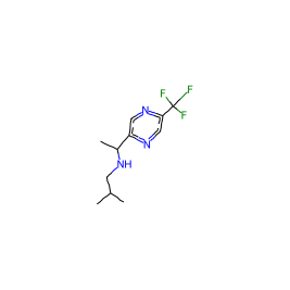 CC(C)CNC(C)c1cnc(C(F)(F)F)cn1